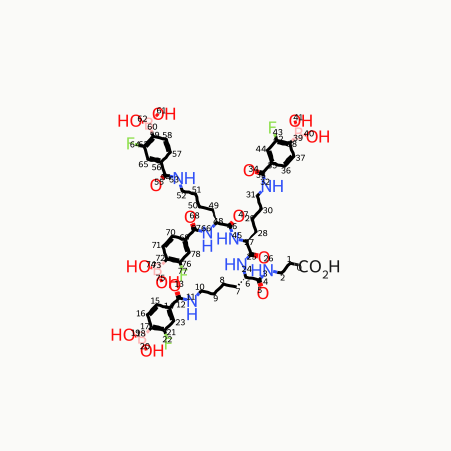 O=C(O)CCNC(=O)[C@H](CCCCNC(=O)c1ccc(B(O)O)c(F)c1)NC(=O)[C@H](CCCCNC(=O)c1ccc(B(O)O)c(F)c1)NC(=O)[C@H](CCCCNC(=O)c1ccc(B(O)O)c(F)c1)NC(=O)c1ccc(B(O)O)c(F)c1